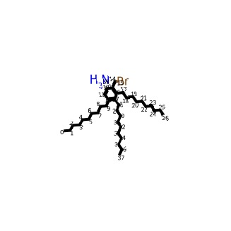 CCCCCCCCCCc1ccc(CBr)c(CCCCCCCCCC)c1CCCCCCCCCC.N